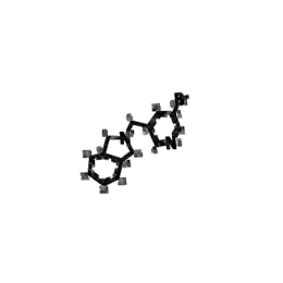 Brc1cncc(CN2Cc3ccccc3C2)c1